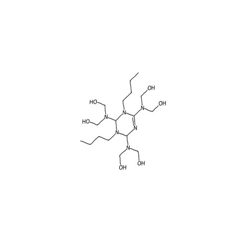 CCCCN1C(N(CO)CO)=NC(N(CO)CO)N(CCCC)C1N(CO)CO